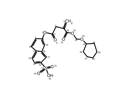 C=C(CC(=O)Oc1ccc2ccc(S(=O)(=O)O)cc2c1)C(=O)OCOC1CCCCC1